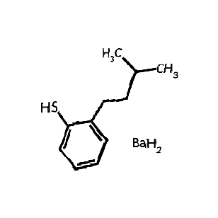 CC(C)CCc1ccccc1S.[BaH2]